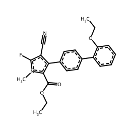 CCOC(=O)c1c(-c2ccc(-c3ccccc3OCC)cc2)c(C#N)c(F)n1C